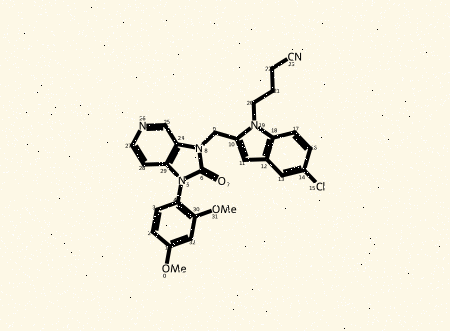 COc1ccc(-n2c(=O)n(Cc3cc4cc(Cl)ccc4n3CCCC#N)c3cnccc32)c(OC)c1